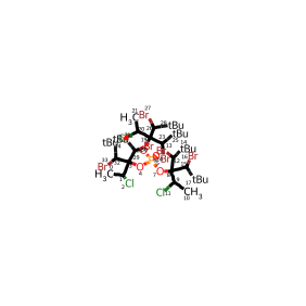 CC(Cl)C(OP(=O)(OC(C(C)Cl)(C(Br)C(C)(C)C)C(Br)C(C)(C)C)OC(C(C)Cl)(C(Br)C(C)(C)C)C(Br)C(C)(C)C)(C(Br)C(C)(C)C)C(Br)C(C)(C)C